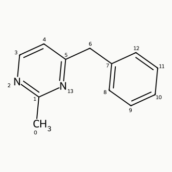 Cc1nccc(Cc2ccccc2)n1